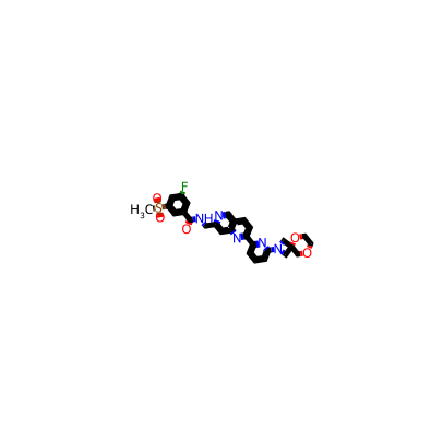 CS(=O)(=O)c1cc(F)cc(C(=O)NCc2cc3nc(-c4cccc(N5CC6(COCCO6)C5)n4)ccc3cn2)c1